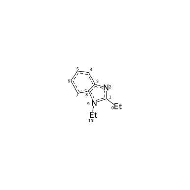 CCc1nc2ccccc2n1CC